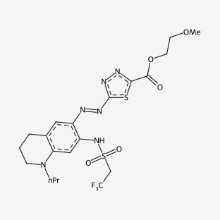 CCCN1CCCc2cc(N=Nc3nnc(C(=O)OCCOC)s3)c(NS(=O)(=O)CC(F)(F)F)cc21